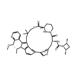 CCn1c(-c2cccnc2[C@H](C)OC)c2c3cc(ccc31)-c1csc(n1)C[C@H](NC(=O)N1[C@H](C)C[C@@H]1C)C(=O)N1CCC[C@H](N1)C(=O)OCC(C)(C)C2